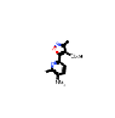 Cc1nc(-c2onc(C)c2C(=O)O)ccc1[N+](=O)[O-]